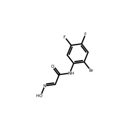 O=C(C=NO)Nc1cc(F)c(F)cc1Br